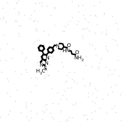 CSc1ncc2cc(-c3ccccc3)c(-c3ccc(CN4CCC(C(=O)NCCC(N)=O)CC4)cc3)nc2n1